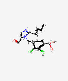 CCCCc1ncc(C=O)n1Cc1ccc(C(=O)OC)c(Cl)c1Cl